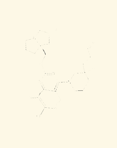 C=CCCC1(O)CCCN(c2nc(OC[C@@]34CCCN3C[C@H](F)C4)nc3c(F)c(Cl)ncc23)C1